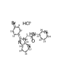 Cl.O=C(Cn1c(-c2ccc(Br)cc2)nc2cccnc21)Nc1cccnc1